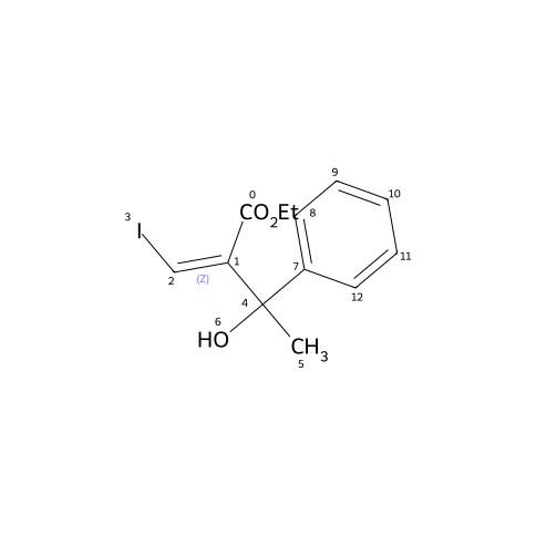 CCOC(=O)/C(=C\I)C(C)(O)c1ccccc1